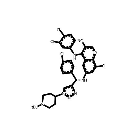 CC(C)(C)N1CCC(n2cc([C@@H](Nc3cc(Cl)c4ncc(C#N)c(Nc5ccc(Cl)c(Cl)c5)c4c3)c3ccc(Cl)cc3)nn2)CC1